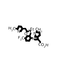 CCN(Cc1cc(C(F)(F)F)ccc1-n1cc(CC(=O)O)c2ccc(C)nc21)C(=O)Cc1ccc(C)nc1